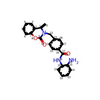 C=C1c2ccccc2OC(=O)N1Cc1ccc(C(=O)Nc2ccccc2N)cc1